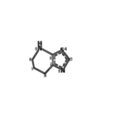 [c]1nc2c(s1)NCCC2